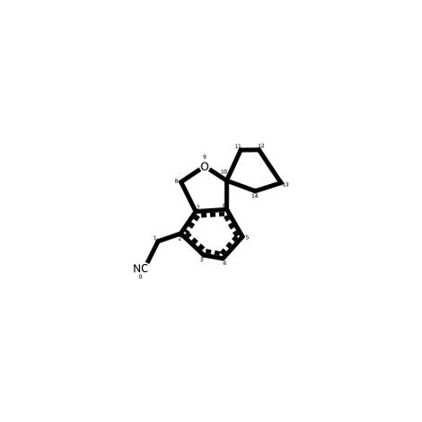 N#CCc1cccc2c1COC21CCCC1